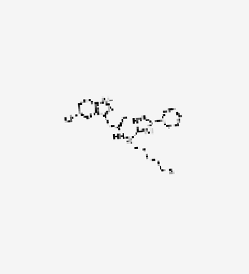 CC(=O)CCCCC[C@H](NC(=O)Cc1n[nH]c2ccc(Cl)cc12)c1ncc(-c2ccccc2)[nH]1